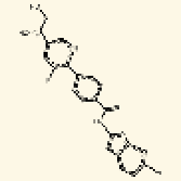 O=C(Nc1nc2ccc(F)cc2s1)c1ccc(-c2ncc([C@H](O)CO)cc2F)cc1